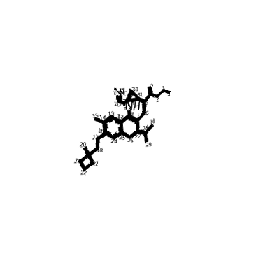 C=C(CCC)/C(=C/C1=C(NC=N)c2cc(C)c(CCC3(C)CCC3)cc2CC1C(C)C)C1CC1